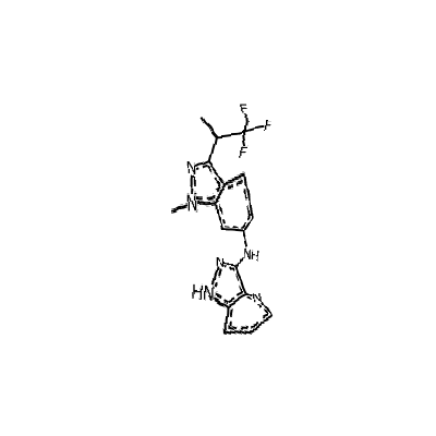 CC(c1nn(C)c2cc(Nc3n[nH]c4cccnc34)ccc12)C(F)(F)F